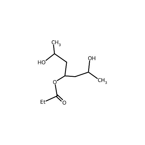 CCC(=O)OC(CC(C)O)CC(C)O